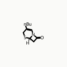 CCCCC1=CN2C(=O)C[C@H]2SC1